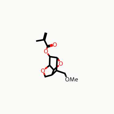 C=C(C)C(=O)OC1C2OC3C(COC31)C2COC